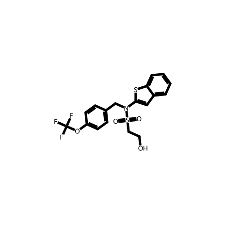 O=S(=O)(CCO)N(Cc1ccc(OC(F)(F)F)cc1)c1cc2ccccc2s1